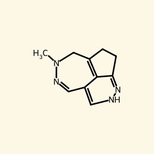 CN1CC2=C3C(=CNN=C3CC2)C=N1